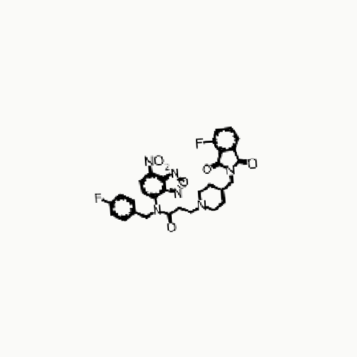 O=C1c2cccc(F)c2C(=O)N1CC1CCN(CCC(=O)N(Cc2ccc(F)cc2)c2ccc([N+](=O)[O-])c3nonc23)CC1